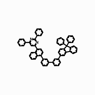 c1ccc(-c2cc(-c3ccc(-c4cccc(-c5cccc(-c6ccc7c(c6)-c6ccccc6C7(c6ccccc6)c6ccccc6)c5)c4)c4ccccc34)nc(-c3ccccc3)n2)cc1